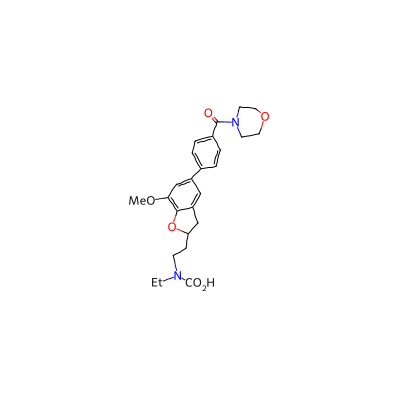 CCN(CCC1Cc2cc(-c3ccc(C(=O)N4CCOCC4)cc3)cc(OC)c2O1)C(=O)O